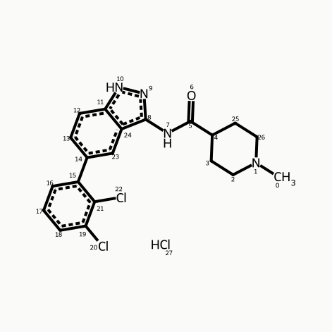 CN1CCC(C(=O)Nc2n[nH]c3ccc(-c4cccc(Cl)c4Cl)cc23)CC1.Cl